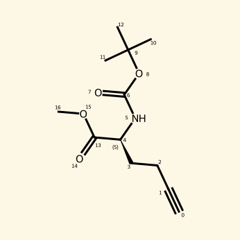 C#CCC[C@H](NC(=O)OC(C)(C)C)C(=O)OC